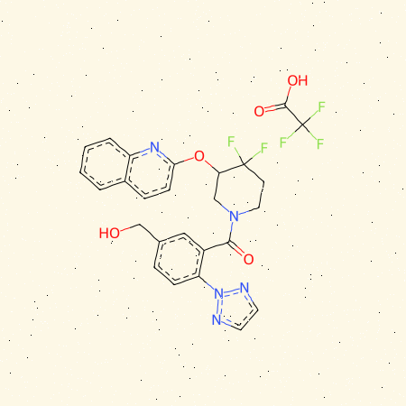 O=C(O)C(F)(F)F.O=C(c1cc(CO)ccc1-n1nccn1)N1CCC(F)(F)C(Oc2ccc3ccccc3n2)C1